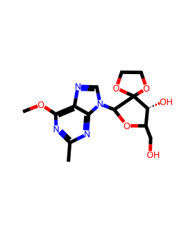 COc1nc(C)nc2c1ncn2C1OC(CO)[C@@H](O)C12OCCO2